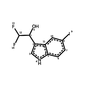 OC(c1c[nH]c2ccc(I)cc12)C(F)F